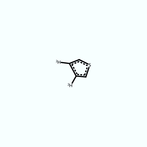 [2H]c1cscc1[2H]